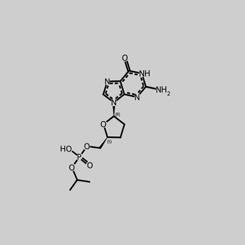 CC(C)OP(=O)(O)OC[C@@H]1CC[C@H](n2cnc3c(=O)[nH]c(N)nc32)O1